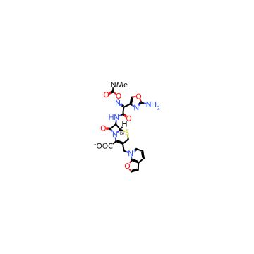 CNC(=O)ON=C(C(=O)NC1C(=O)N2C(C(=O)[O-])=C(C[n+]3cccc4ccoc43)CS[C@@H]12)c1coc(N)n1